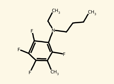 CCCCN(CC)c1c(F)c(C)c(F)c(F)c1F